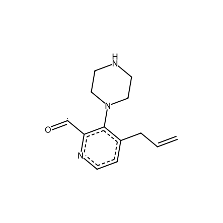 C=CCc1ccnc([C]=O)c1N1CCNCC1